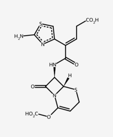 Nc1nc(C(=CCC(=O)O)C(=O)N[C@@H]2C(=O)N3C(OC(=O)O)=CCS[C@@H]23)cs1